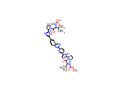 COC(=O)NC(C(=O)N1CCCC1c1ncc(-c2ccc(-c3ncc4cc(-c5cnc(C6CCCN6C(=O)[C@H](C(C)C)N(C)C(=O)O)[nH]5)ccc4n3)nc2)[nH]1)C(C)C